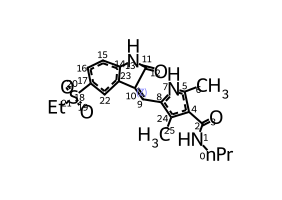 CCCNC(=O)c1c(C)[nH]c(/C=C2\C(=O)Nc3ccc(S(=O)(=O)CC)cc32)c1C